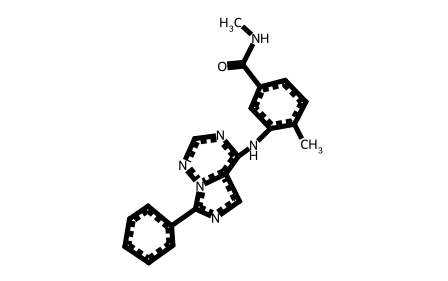 CNC(=O)c1ccc(C)c(Nc2ncnn3c(-c4ccccc4)ncc23)c1